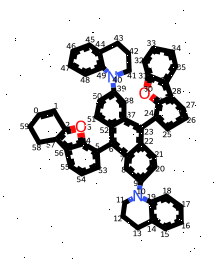 C1=Cc2oc3c(-c4c5cc(N6CCCc7ccccc76)ccc5c(-c5cccc6c5oc5ccccc56)c5cc(N6CCCc7ccccc76)ccc45)cccc3c2CC1